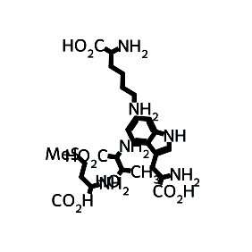 CC(O)C(N)C(=O)O.CSCCC(N)C(=O)O.NC(Cc1c[nH]c2ccccc12)C(=O)O.NCCCCC(N)C(=O)O